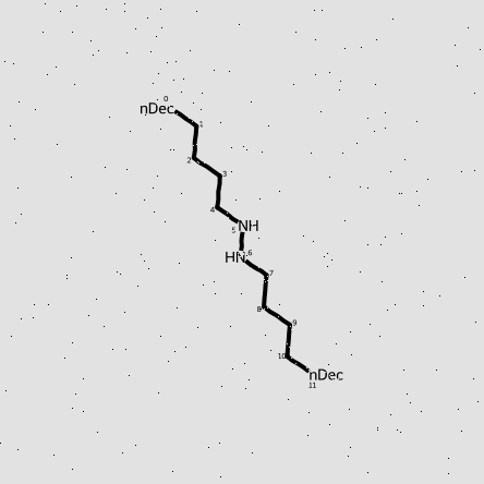 CCCCCCCCCCCCCCNNCCCCCCCCCCCCCC